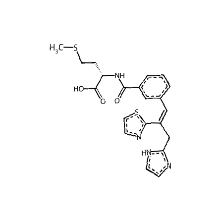 CSCC[C@H](NC(=O)c1cccc(C=C(Cc2ncc[nH]2)c2nccs2)c1)C(=O)O